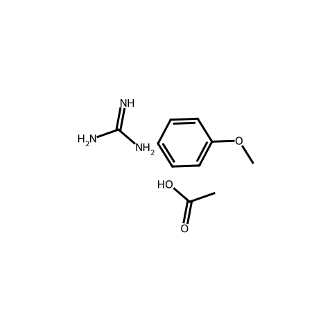 CC(=O)O.COc1ccccc1.N=C(N)N